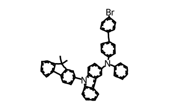 CC1(C)c2ccccc2-c2ccc(-n3c4ccccc4c4cc(N(c5ccccc5)c5ccc(-c6ccc(Br)cc6)cc5)ccc43)cc21